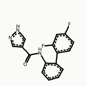 O=C(Nc1ccccc1-c1ccc(F)cc1F)c1cn[nH]c1